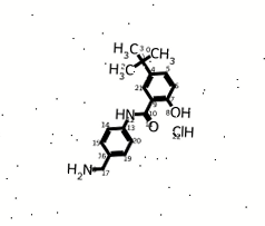 CC(C)(C)c1ccc(O)c(C(=O)Nc2ccc(CN)cc2)c1.Cl